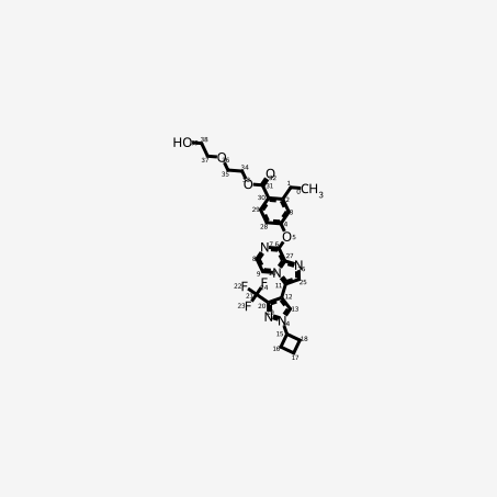 CCc1cc(Oc2nccn3c(-c4cn(C5CCC5)nc4C(F)(F)F)cnc23)ccc1C(=O)OCCOCCO